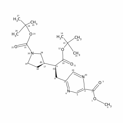 COC(=O)c1cnc(C[C@H](C(=O)OC(C)(C)C)[C@H]2CCN(C(=O)OC(C)(C)C)C2)cn1